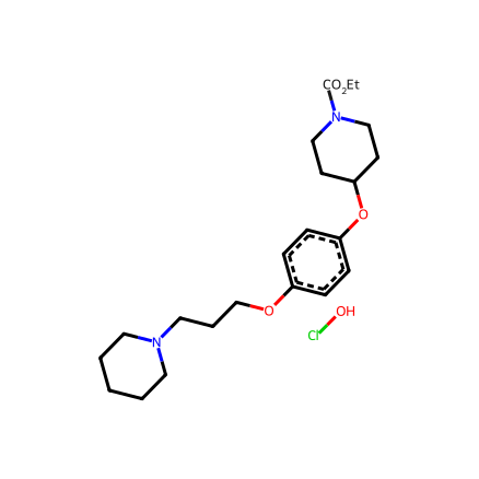 CCOC(=O)N1CCC(Oc2ccc(OCCCN3CCCCC3)cc2)CC1.OCl